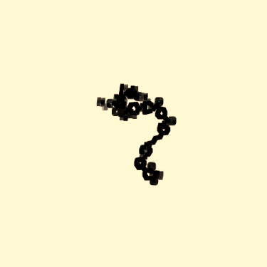 CCOC(=O)c1c(C)nc(Nc2cnn(C)c2)nc1NC1CCC(N2CCN(C(=O)C3CCC(C(=O)N4CCC(CCCCN5CCN(c6cccc(C7CCC(=O)NC7=O)c6)CC5)CC4)CC3)CC2)CC1